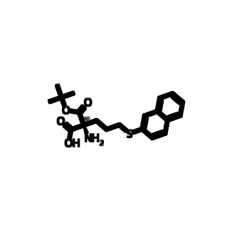 CC(C)(C)OC(=O)[C@](N)(CCCSc1ccc2ccccc2c1)C(=O)O